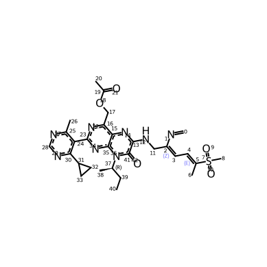 C=N/C(=C\C=C(/C)S(C)(=O)=O)CNc1nc2c(COC(C)=O)nc(-c3c(C)ncnc3C3CC3)nc2n([C@H](C)CC)c1=O